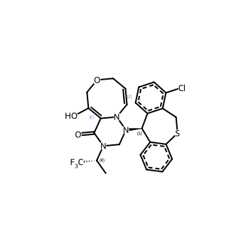 C[C@@H](N1CN([C@@H]2c3ccccc3SCc3c(Cl)cccc32)N2/C=C\COC/C(O)=C\2C1=O)C(F)(F)F